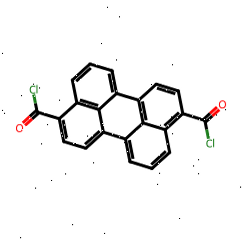 O=C(Cl)c1ccc2c3cccc4c(C(=O)Cl)ccc(c5cccc1c52)c43